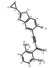 N=C(C#Cc1cc2nc(C3CC3)sc2cc1F)c1c(N)ncnc1N